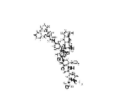 Cc1ccccc1[C@@H]1CCCN1C1CC2(C1)CN(c1ccc(C(=O)NS(=O)(=O)c3cc4c(c([N+](=O)[O-])c3)N[C@H](C3CN(C5COC5)[C@H](C)CO3)CO4)c(N3c4cc5cc[nH]c5nc4O[C@H]4COC[C@@H]43)c1)C2